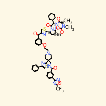 C[C@@H](C(=O)N[C@H](C(=O)N1CCC[C@H]1c1nc(C(=O)c2cccc(OCCN3CCC(CNC(=O)c4cccc(-c5noc(C(F)(F)F)n5)c4)(c4nc(-c5ccccc5)cs4)CC3)c2)cs1)C1CCCCC1)N(C)C(=O)OC(C)(C)C